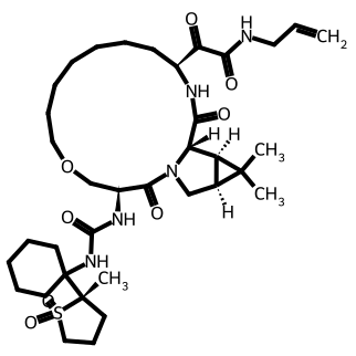 C=CCNC(=O)C(=O)[C@@H]1CCCCCCCOC[C@H](NC(=O)NC2([C@]3(C)CCCS3(=O)=O)CCCCC2)C(=O)N2C[C@H]3[C@@H]([C@H]2C(=O)N1)C3(C)C